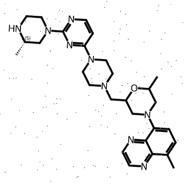 Cc1ccc(N2CC(C)OC(CN3CCN(c4ccnc(N5CCN[C@@H](C)C5)n4)CC3)C2)c2nccnc12